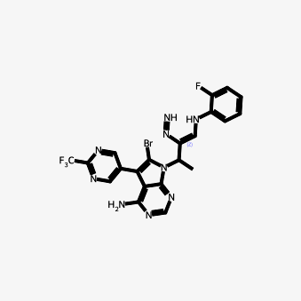 CC(/C(=C/Nc1ccccc1F)N=N)n1c(Br)c(-c2cnc(C(F)(F)F)nc2)c2c(N)ncnc21